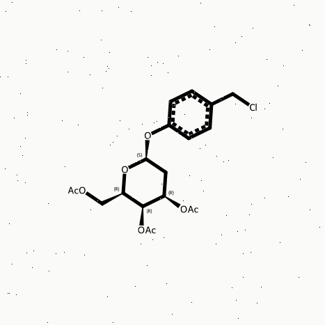 CC(=O)OC[C@H]1O[C@@H](Oc2ccc(CCl)cc2)C[C@@H](OC(C)=O)[C@H]1OC(C)=O